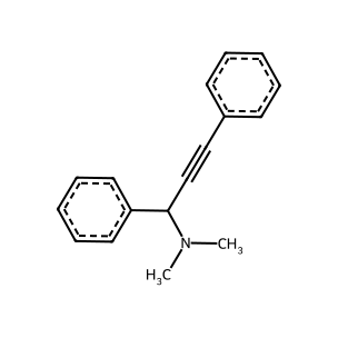 CN(C)C(C#Cc1ccccc1)c1ccccc1